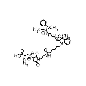 CN1c2ccccc2C(C)(C)C1C=CC=CC=C1N(CCCCCC(=O)NCCN2C(=O)CC(S(=O)(=O)CC(N)C(=O)O)C2=O)c2ccccc2C1(C)C